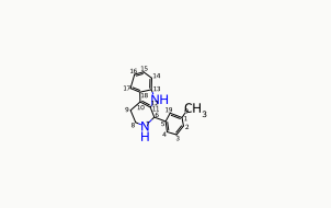 Cc1cccc(C2NCCc3c2[nH]c2ccccc32)c1